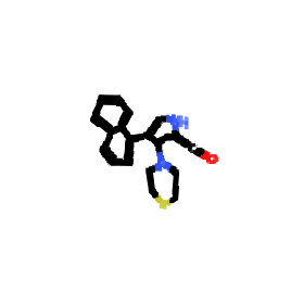 O=C=C1NC=C(c2cccc3ccccc23)C1N1CCSCC1